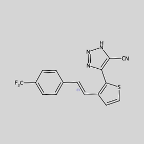 N#Cc1[nH]nnc1-c1sccc1/C=C/c1ccc(C(F)(F)F)cc1